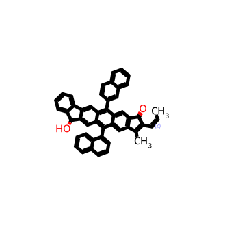 C/C=C\C1=C(C)c2cc3c(-c4cccc5ccccc45)c4cc5c(cc4c(-c4ccc6ccccc6c4)c3cc2C1=O)-c1ccccc1C5O